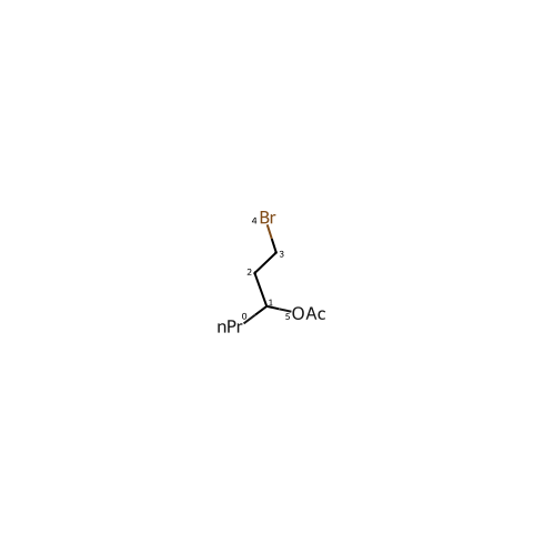 CCCC(CCBr)OC(C)=O